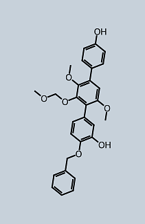 COCOc1c(OC)c(-c2ccc(O)cc2)cc(OC)c1-c1ccc(OCc2ccccc2)c(O)c1